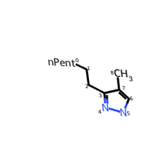 CCCCCCCC1=N[N]C=C1C